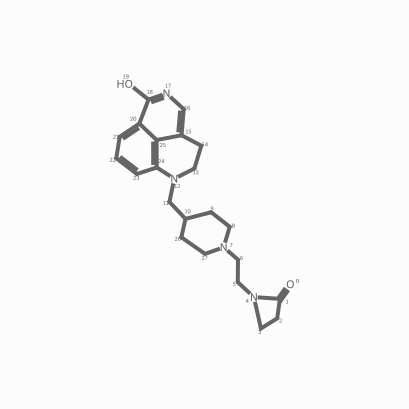 O=C1CCN1CCN1CCC(CN2CCc3cnc(O)c4cccc2c34)CC1